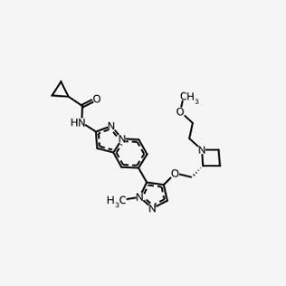 COCCN1CC[C@@H]1COc1cnn(C)c1-c1ccn2nc(NC(=O)C3CC3)cc2c1